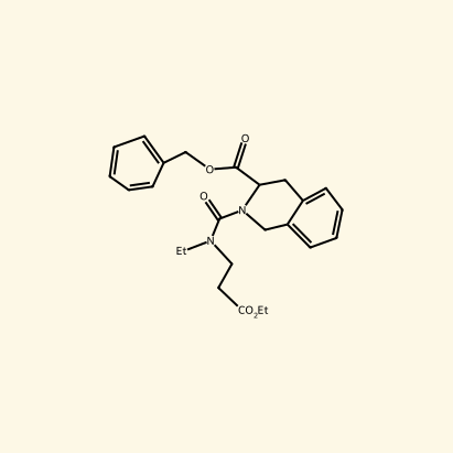 CCOC(=O)CCN(CC)C(=O)N1Cc2ccccc2CC1C(=O)OCc1ccccc1